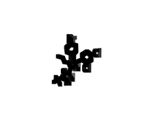 CCCc1c(-c2nnc(C(C)(C)C)s2)nc(-c2ccc(Cl)cc2Cl)n1-c1ccc(Br)cc1